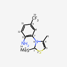 CSC1SC=C(C)N1c1cc(C(F)(F)F)ccc1N